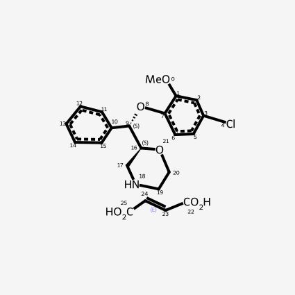 COc1cc(Cl)ccc1O[C@@H](c1ccccc1)[C@@H]1CNCCO1.O=C(O)/C=C/C(=O)O